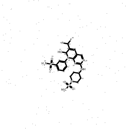 CS(=O)(=O)N1CCC(Nc2ncc3c(n2)N(c2cccc(S(N)(=O)=O)c2)C(O)C(C(F)F)=C3)CC1